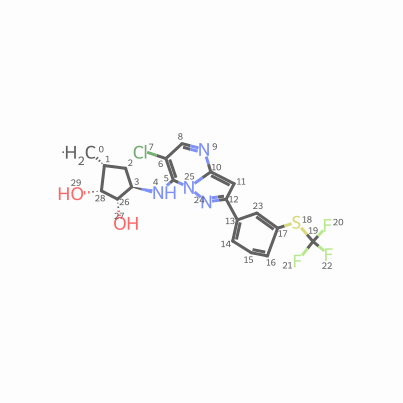 [CH2][C@@H]1C[C@@H](Nc2c(Cl)cnc3cc(-c4cccc(SC(F)(F)F)c4)nn23)[C@H](O)[C@@H]1O